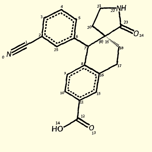 N#Cc1cccc(C2c3ccc(C(=O)O)cc3CC[C@@]23CCNC3=O)c1